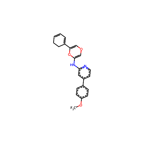 FC(F)(F)Oc1ccc(-c2ccnc(NC3=COC=C(C4=CC=CCC4)O3)c2)cc1